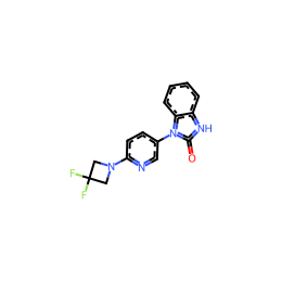 O=c1[nH]c2ccccc2n1-c1ccc(N2CC(F)(F)C2)nc1